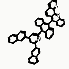 c1ccc2cc(-c3cc(-c4ccc5ccccc5c4)nc(-c4c5ccccc5c(-c5c6ccccc6nc6c5ccc5cccnc56)c5ccccc45)c3)ccc2c1